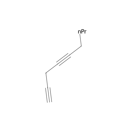 C#CCC#CCCCC